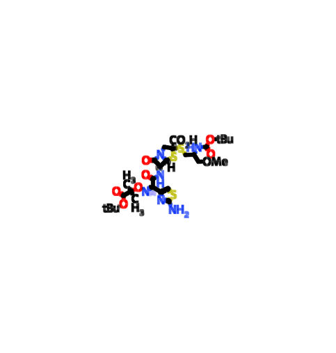 COCC(CS[C@]1(C(=O)O)CN2C(=O)[C@@H](NC(=O)/C(=N\OC(C)(C)C(=O)OC(C)(C)C)c3csc(N)n3)[C@H]2S1)NC(=O)OC(C)(C)C